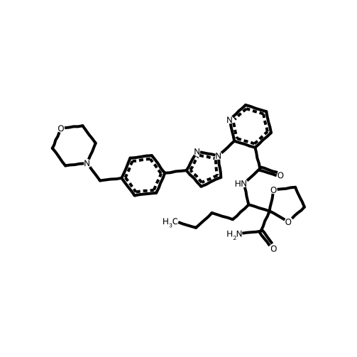 CCCCC(NC(=O)c1cccnc1-n1ccc(-c2ccc(CN3CCOCC3)cc2)n1)C1(C(N)=O)OCCO1